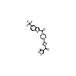 O=C(c1csnn1)N1CC(N2CCN(C(=O)c3cc4cc(C(F)(F)F)ccc4s3)CC2)C1